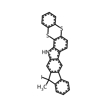 CC1(I)c2ccccc2-c2cc3c(cc21)[nH]c1c2c(ccc13)Sc1ccccc1S2